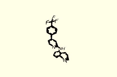 FC(F)(F)c1ccc(-c2ccnc(Nc3cccc4ncccc34)c2)cc1